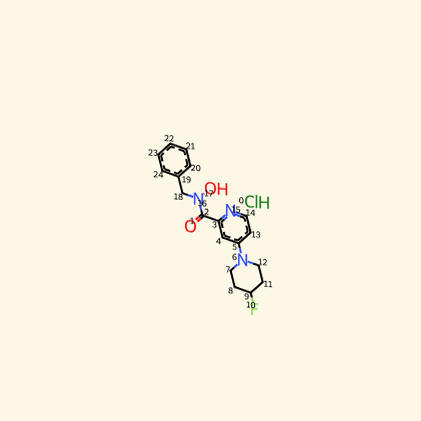 Cl.O=C(c1cc(N2CCC(F)CC2)ccn1)N(O)Cc1ccccc1